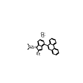 CCC1=Cc2c(-c3cc4ccccc4c4ccccc34)cccc2[CH]1[Zr+2][Si](C)C.[Cl-].[Cl-]